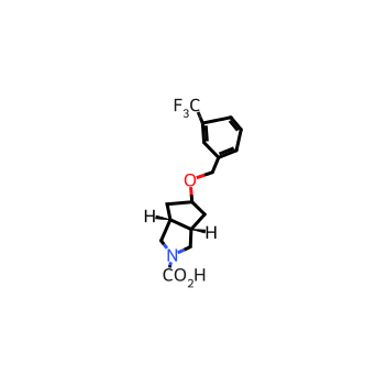 O=C(O)N1C[C@H]2CC(OCc3cccc(C(F)(F)F)c3)C[C@H]2C1